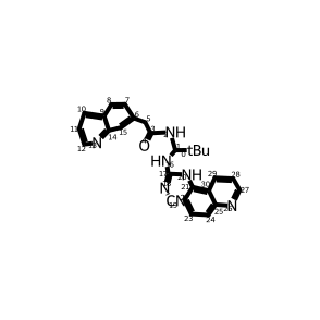 CC(C)(C)C(NC(=O)Cc1ccc2cccnc2c1)N/C(=N/C#N)Nc1cccc2ncccc12